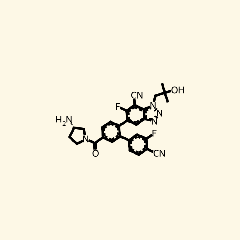 CC(C)(O)Cn1nnc2cc(-c3ccc(C(=O)N4CC[C@H](N)C4)cc3-c3ccc(C#N)c(F)c3)c(F)c(C#N)c21